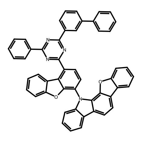 c1ccc(-c2cccc(-c3nc(-c4ccccc4)nc(-c4ccc(-n5c6ccccc6c6ccc7c8ccccc8oc7c65)c5oc6ccccc6c45)n3)c2)cc1